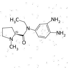 CCN(C(=O)[C@@H]1CCCN1C)c1ccc(N)c(N)c1